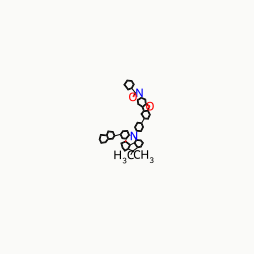 CC1(C)c2ccccc2-c2c(N(c3ccc(-c4ccc5ccccc5c4)cc3)c3ccc(-c4ccc5oc6cc7nc(-c8ccccc8)oc7cc6c5c4)cc3)cccc21